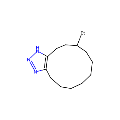 CCC1CCCCCCCc2nn[nH]c2CC1